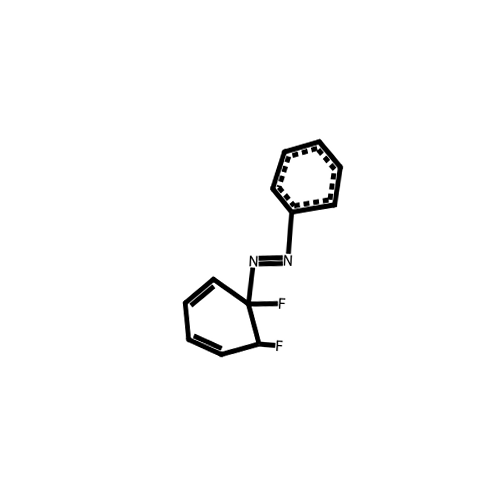 FC1C=CC=CC1(F)N=Nc1ccccc1